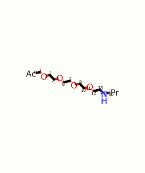 CC(=O)COCCOCCOCCOCCNC(C)C